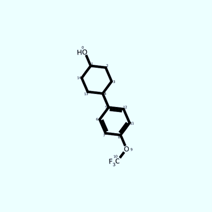 OC1CCC(c2ccc(OC(F)(F)F)cc2)CC1